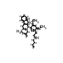 C=C(/C(=C\C(=N/C)NCCNCCCF)OC)[C@@H]1c2[nH]c3ccccc3c2C[C@@H](C)N1CC(F)F